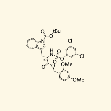 COc1ccc(COC(=O)[C@H](Cc2cn(C(=O)OC(C)(C)C)c3ccccc23)NS(=O)(=O)Oc2cc(Cl)cc(Cl)c2)c(OC)c1